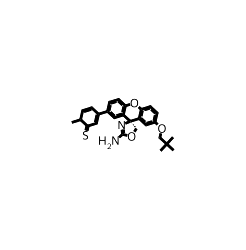 CC1C=CC(c2ccc3c(c2)[C@@]2(COC(N)=N2)c2cc(OCC(C)(C)C)ccc2O3)=CC1=S